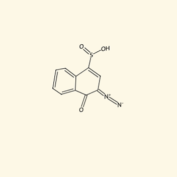 [N-]=[N+]=C1C=C(S(=O)O)c2ccccc2C1=O